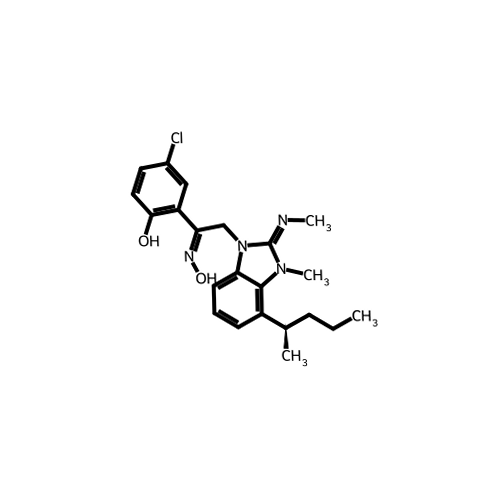 CCC[C@@H](C)c1cccc2c1n(C)/c(=N\C)n2C/C(=N\O)c1cc(Cl)ccc1O